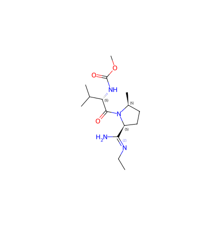 CC/N=C(\N)[C@@H]1CC[C@H](C)N1C(=O)[C@@H](NC(=O)OC)C(C)C